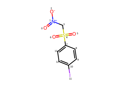 O=[N+]([O-])CS(=O)(=O)c1ccc(I)cc1